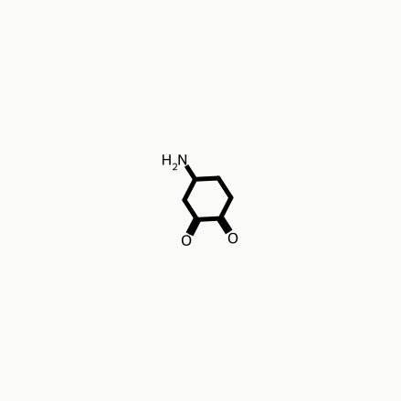 NC1CCC(=O)C(=O)C1